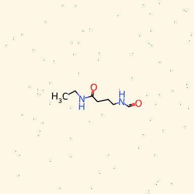 CCNC(=O)CCCNC=O